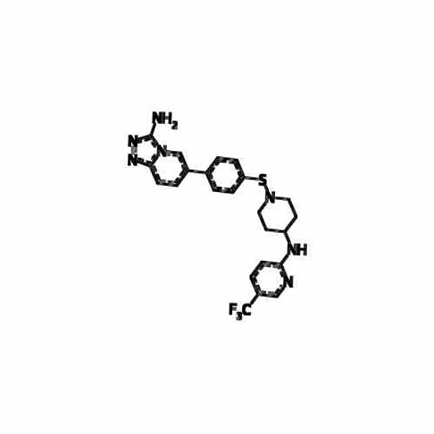 Nc1nnc2ccc(-c3ccc(SN4CCC(Nc5ccc(C(F)(F)F)cn5)CC4)cc3)cn12